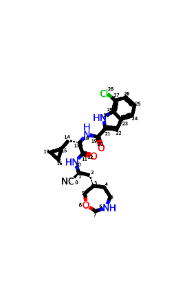 N#C[C@H](C[C@@H]1CCNCOC1)NC(=O)[C@H](CC1CC1)NC(=O)c1cc2cccc(Cl)c2[nH]1